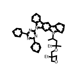 CCC1(COC(C)(CC)CC(C)n2c3ccccc3c3cc4c5ccccc5n(-c5nc(-c6ccccc6)nc(-c6ccccc6)n5)c4cc32)COC1